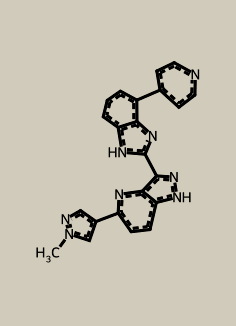 Cn1cc(-c2ccc3[nH]nc(-c4nc5c(-c6ccncc6)cccc5[nH]4)c3n2)cn1